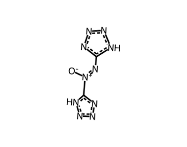 [O-][N+](=Nc1nnn[nH]1)c1nnn[nH]1